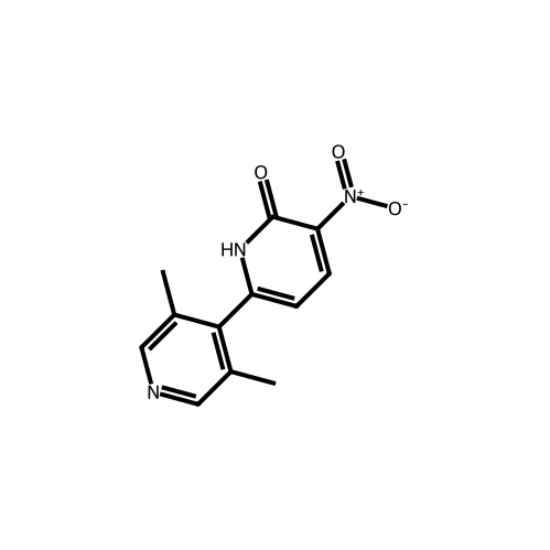 Cc1cncc(C)c1-c1ccc([N+](=O)[O-])c(=O)[nH]1